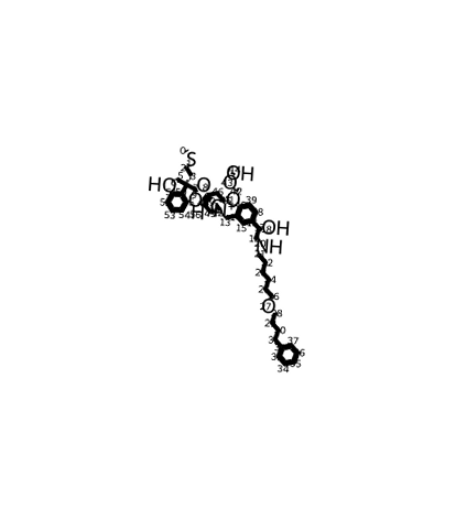 CSCC[C@](CO)(C(=O)O[C@H]1C[N+]2(Cc3cc(C(O)CNCCCCCCOCCCCc4ccccc4)ccc3OCOO)CCC1CC2)c1ccccc1